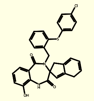 O=C1c2cccc(O)c2NC(=O)C2(C=C3CC=CC=C3C2)N1Cc1ccccc1Sc1ccc(Cl)cc1